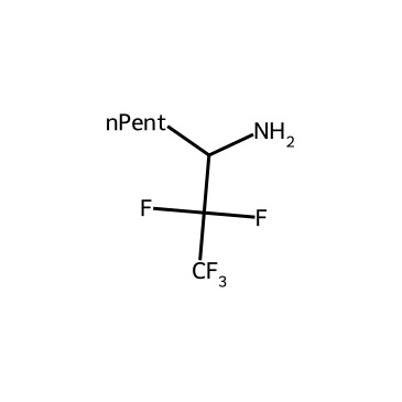 CCCCCC(N)C(F)(F)C(F)(F)F